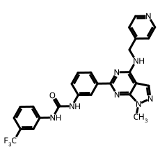 Cn1ncc2c(NCc3ccncc3)nc(-c3cccc(NC(=O)Nc4cccc(C(F)(F)F)c4)c3)nc21